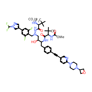 COC(=O)NC(C(=O)NC(Cc1ccc(C#Cc2ccc(N3CCN(C4COC4)CC3)nc2)cc1)C(O)CN(Cc1c(F)cc(-c2cnn(C(F)F)c2)cc1F)NC(=O)C(NC(=O)O)C(C)(C)C(F)(F)F)C(C)(C)C(F)(F)F